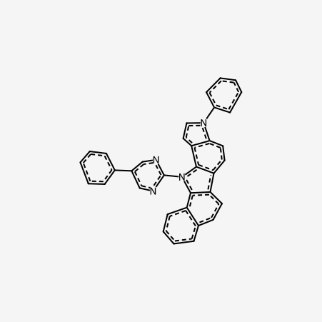 c1ccc(-c2cnc(-n3c4c5ccccc5ccc4c4ccc5c(ccn5-c5ccccc5)c43)nc2)cc1